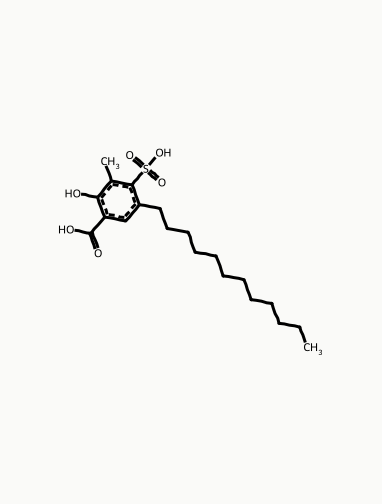 CCCCCCCCCCCCc1cc(C(=O)O)c(O)c(C)c1S(=O)(=O)O